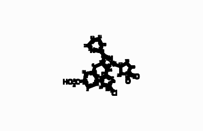 O=C(O)c1cccc(Cc2c(-c3ccccn3)nn(C3CCS(=O)(=O)C3)c2-c2ccc(Cl)s2)c1